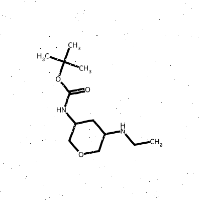 CCNC1COCC(NC(=O)OC(C)(C)C)C1